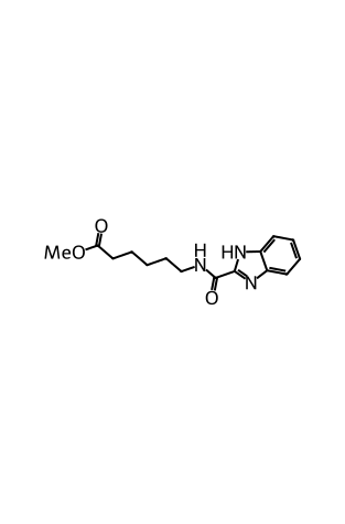 COC(=O)CCCCCNC(=O)c1nc2ccccc2[nH]1